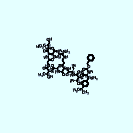 CC[C@H](C)[C@H](NC(=O)[C@@H](CCCNC(=N)N)NC(=O)[C@H](CC(C)C)NC(=O)[C@@H](NC(=O)[C@@H](NC(=O)OCc1ccccc1)[C@H](N)c1ccc(N(C)C)cc1)[C@H](O)C(C)C)C(=O)N[C@H](C(=O)NCC(=O)N[C@H](C(=O)N[C@@H](CO)C(=O)O)[C@H](O)C(N)=O)[C@H](C)O